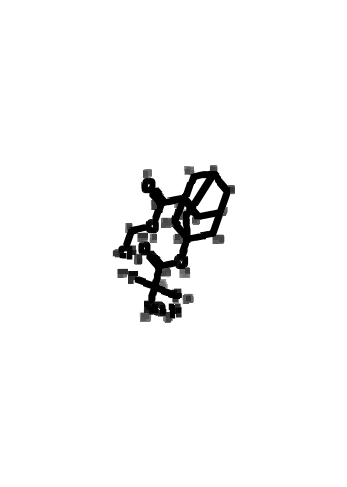 O=C(OCC(F)(F)F)C12CC3CC(CC(OC(=O)C(F)(F)S(=O)(=O)O)(C3)C1)C2